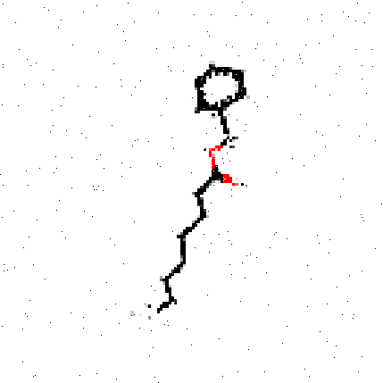 O=C(O)CCCCCCC(=O)O[Se]c1ccccc1